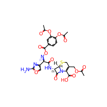 CC(=O)OCC1=C(C(=O)O)N2C(=O)[C@H](NC(=O)/C(=N\OC(=O)c3ccc(OC(C)=O)c(OC(C)=O)c3)c3coc(N)n3)[C@H]2SC1